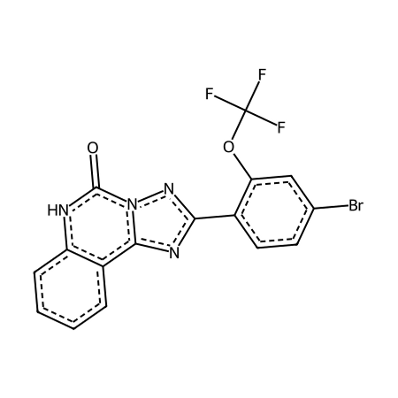 O=c1[nH]c2ccccc2c2nc(-c3ccc(Br)cc3OC(F)(F)F)nn12